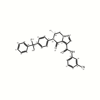 C[C@@H]1Cn2ncc(C(=O)Nc3cccc(C#N)c3)c2C(=O)N1c1ccc(C(F)(F)c2ccccc2)cc1